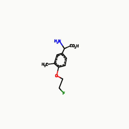 Cc1cc(C(N)C(=O)O)ccc1OCCF